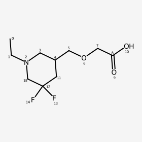 CCN1CC(COCC(=O)O)CC(F)(F)C1